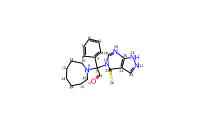 O=CC(c1ccccc1)(N1CCCCCCC1)n1cnc2[nH]ncc2c1=S